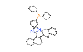 C1=CCCC(P(c2ccccc2)c2ccc3nc4c5c6ccccc6ccc5c5cc6ccccc6cc5n4c3c2)=C1